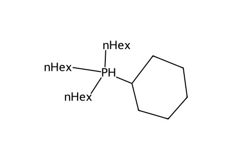 CCCCCC[PH](CCCCCC)(CCCCCC)C1CCCCC1